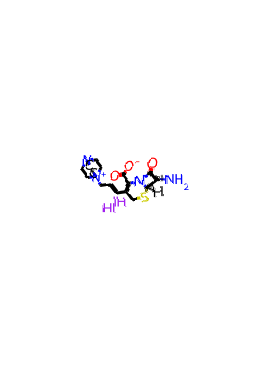 I.I.N[C@@H]1C(=O)N2C(C(=O)[O-])=C(C=CC[N+]34CCN(CC3)CC4)CS[C@H]12